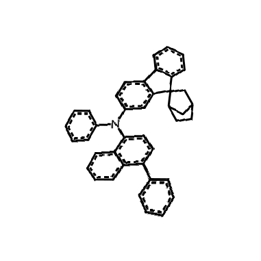 c1ccc(-c2ccc(N(c3ccccc3)c3ccc4c(c3)C3(CC5CCC3C5)c3ccccc3-4)c3ccccc23)cc1